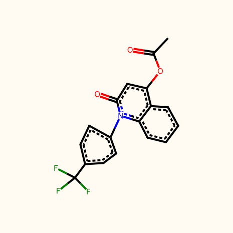 CC(=O)Oc1cc(=O)n(-c2ccc(C(F)(F)F)cc2)c2ccccc12